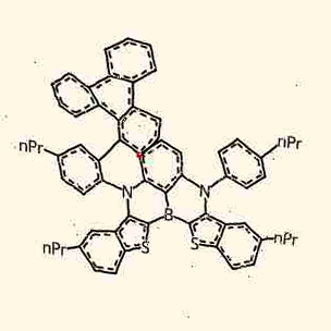 CCCc1ccc(N2c3cccc4c3B(c3sc5ccc(CCC)cc5c32)c2sc3ccc(CCC)cc3c2N4c2ccc(CCC)cc2-c2cccc3c4ccccc4c4ccccc4c23)cc1